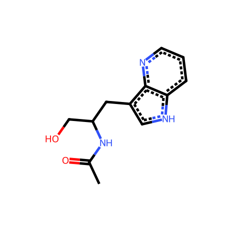 CC(=O)NC(CO)Cc1c[nH]c2cccnc12